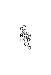 COc1cc(Cl)ccc1Nc1nc(I)nc2c1ncn2C1CCCCO1